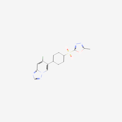 Cc1nnc(S(=O)(=O)C2CCC(c3cn4ncnc4cc3Cl)CC2)o1